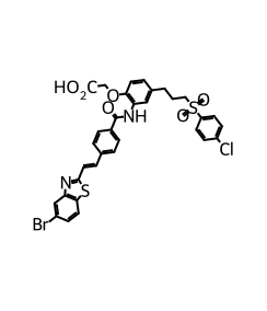 O=C(O)COc1ccc(CCCS(=O)(=O)c2ccc(Cl)cc2)cc1NC(=O)c1ccc(C=Cc2nc3cc(Br)ccc3s2)cc1